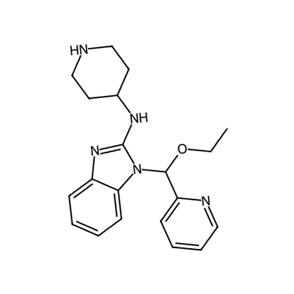 CCOC(c1ccccn1)n1c(NC2CCNCC2)nc2ccccc21